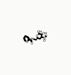 O=C(NC[C@@H]1CC([N+](=O)[O-])C(O)[C@H](O)O1)c1ccccn1